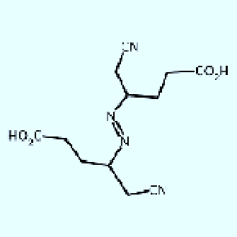 N#CCC(CCC(=O)O)N=NC(CC#N)CCC(=O)O